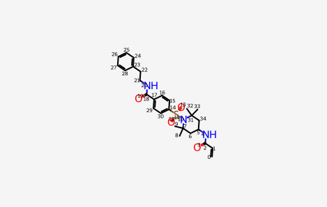 C=CC(=O)NC1CC(C)(C)N(S(=O)(=O)c2ccc(C(=O)NCCc3ccccc3)cc2)C(C)(C)C1